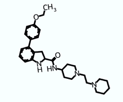 CCOc1ccc(-c2cccc3c2CC(C(=O)NC2CCN(CCN4CCCCC4)CC2)N3)cc1